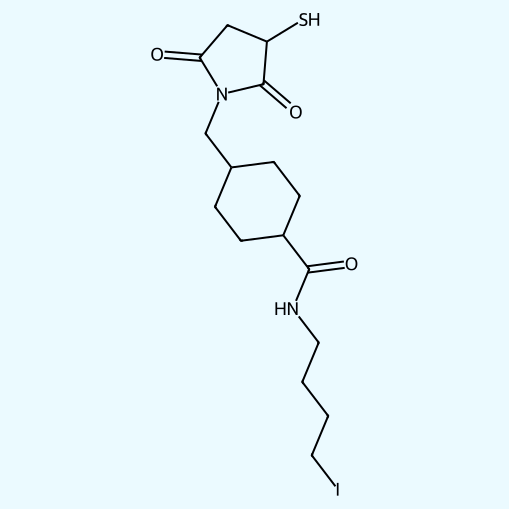 O=C(NCCCCI)C1CCC(CN2C(=O)CC(S)C2=O)CC1